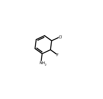 NC1=CC=CC(Cl)C1F